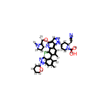 Cc1cc2c(cnn2C2CCCCO2)c(-c2c(C)cc3c(nc(O[C@@H](C)C4CCCN4C)c4cnn([C@H]5CCN(C(=O)O)[C@H](CC#N)C5)c43)c2F)c1C